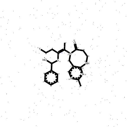 C/C(=C(\CCF)SC(O)c1ccccc1)N1Cc2cnc(C)nc2NCCC1=O